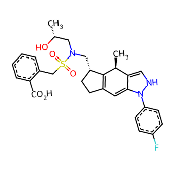 C[C@H]1C2=CNN(c3ccc(F)cc3)C2=CC2=C1[C@@H](CN(C[C@@H](C)O)S(=O)(=O)Cc1ccccc1C(=O)O)CC2